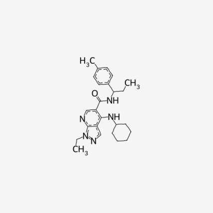 CCC(NC(=O)c1cnc2c(cnn2CC)c1NC1CCCCC1)c1ccc(C)cc1